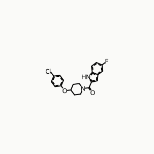 O=C(c1cc2cc(F)ccc2[nH]1)N1CCC(Oc2ccc(Cl)cc2)CC1